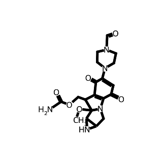 COC12C(COC(N)=O)C3=C(C(=O)C=C(N4CCN(C=O)CC4)C3=O)N1CC1NC12